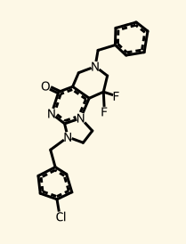 O=c1nc2n(c3c1CN(Cc1ccccc1)CC3(F)F)CCN2Cc1ccc(Cl)cc1